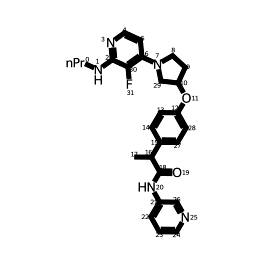 CCCNc1nccc(N2CCC(Oc3ccc(C(C)C(=O)Nc4cccnc4)cc3)C2)c1F